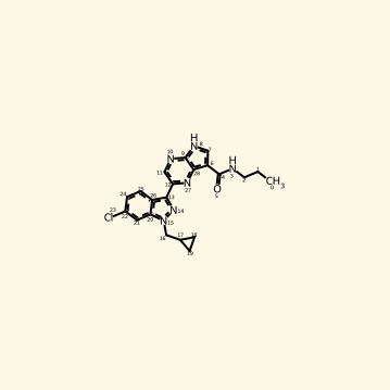 CCCNC(=O)c1c[nH]c2ncc(-c3nn(CC4CC4)c4cc(Cl)ccc34)nc12